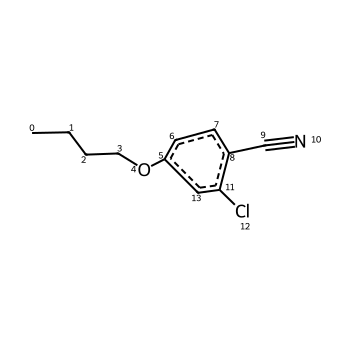 CCCCOc1ccc(C#N)c(Cl)c1